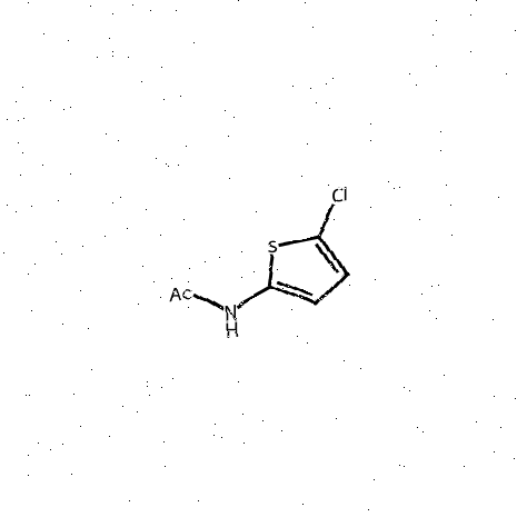 CC(=O)Nc1ccc(Cl)s1